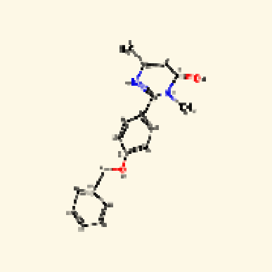 Cc1cc(=O)n(C)c(-c2ccc(OCc3ccccc3)cc2)n1